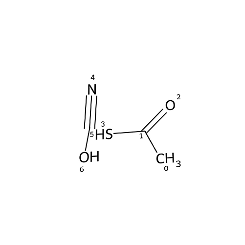 CC(=O)S.N#CO